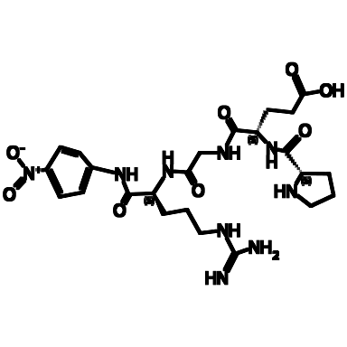 N=C(N)NCCC[C@H](NC(=O)CNC(=O)[C@H](CCC(=O)O)NC(=O)[C@@H]1CCCN1)C(=O)Nc1ccc([N+](=O)[O-])cc1